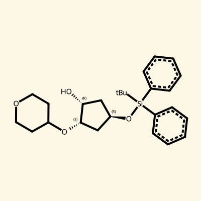 CC(C)(C)[Si](O[C@@H]1C[C@@H](O)[C@@H](OC2CCOCC2)C1)(c1ccccc1)c1ccccc1